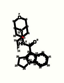 O=C(NC1CC2COCC(C1)N2CCF)c1c2n(c3ccccc13)CCC2